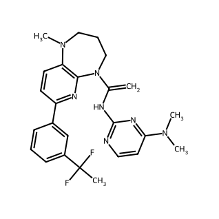 C=C(Nc1nccc(N(C)C)n1)N1CCCN(C)c2ccc(-c3cccc(C(C)(F)F)c3)nc21